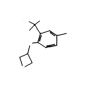 CC(C)(C)c1cc(F)ccc1OC1C[N]C1